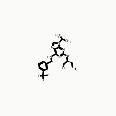 CC[C@@H](CO)Nc1nc(NCc2cccc(C(F)(F)F)c2)c2ncn(C(C)C)c2n1